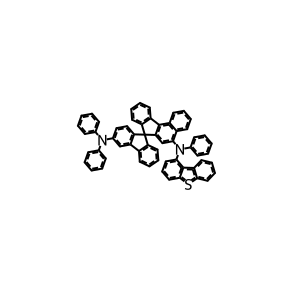 c1ccc(N(c2ccccc2)c2ccc3c(c2)-c2ccccc2C32c3ccccc3-c3c2cc(N(c2ccccc2)c2cccc4sc5ccccc5c24)c2ccccc32)cc1